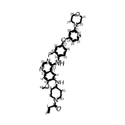 C=CC(=O)N1CCC(Nc2cc3c(Nc4ccc(Oc5ccnc(N6CCOCC6)c5)cc4F)ncnc3cc2OC)CC1